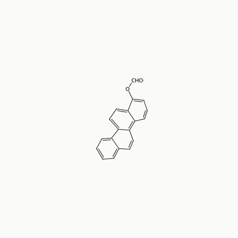 O=[C]Oc1cccc2c1ccc1c3ccccc3ccc21